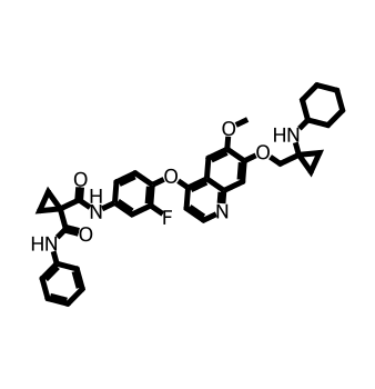 COc1cc2c(Oc3ccc(NC(=O)C4(C(=O)Nc5ccccc5)CC4)cc3F)ccnc2cc1OCC1(NC2CCCCC2)CC1